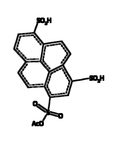 CC(=O)OS(=O)(=O)c1cc(S(=O)(=O)O)c2ccc3c(S(=O)(=O)O)ccc4ccc1c2c43